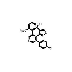 COc1ccccc1-c1cncc(-c2ccc(Cl)cc2)c1-c1nocc1CO